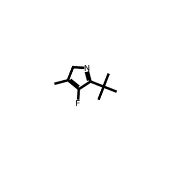 CC1=C(F)C(C(C)(C)C)=NC1